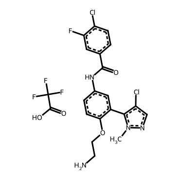 Cn1ncc(Cl)c1-c1cc(NC(=O)c2ccc(Cl)c(F)c2)ccc1OCCN.O=C(O)C(F)(F)F